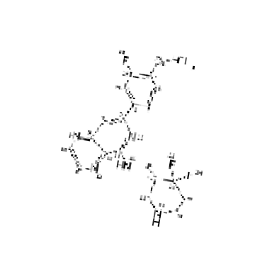 COc1ccc(-c2cc3nccnc3c(NCC3CNCCC3(F)F)n2)cc1F